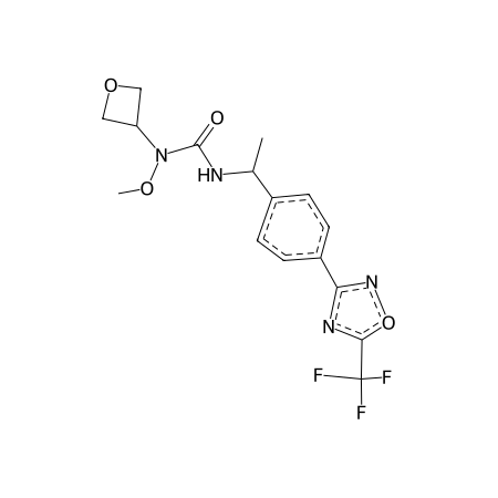 CON(C(=O)NC(C)c1ccc(-c2noc(C(F)(F)F)n2)cc1)C1COC1